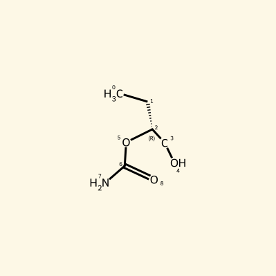 CC[C@H](CO)OC(N)=O